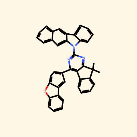 CC1(C)c2ccccc2-c2c(-c3ccc4oc5ccccc5c4c3)nc(-n3c4ccccc4c4cc5ccccc5cc43)nc21